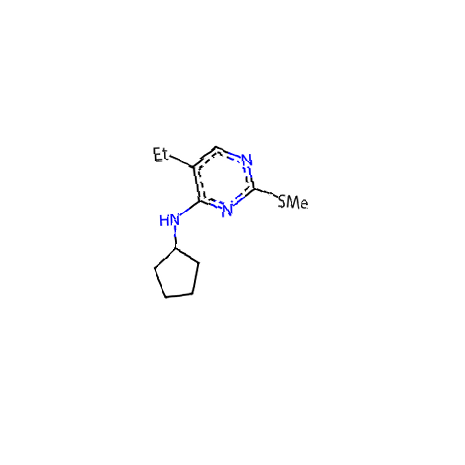 CCc1cnc(SC)nc1NC1CCCC1